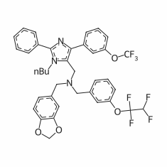 CCCCn1c(-c2ccccc2)nc(-c2cccc(OC(F)(F)F)c2)c1CN(Cc1cccc(OC(F)(F)C(F)F)c1)Cc1ccc2c(c1)OCO2